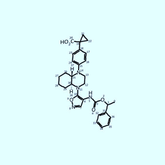 CC(OC(=O)Nc1cnoc1N1CCN(c2ccc(C3(C(=O)O)CC3)cc2)[C@H]2CCCC[C@@H]21)c1ccccc1